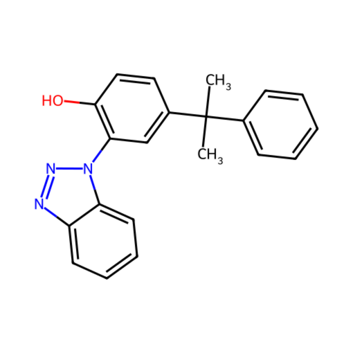 CC(C)(c1ccccc1)c1ccc(O)c(-n2nnc3ccccc32)c1